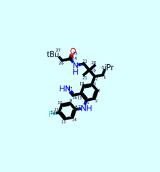 CC(C)CC(c1ccc(Nc2ccc(F)cc2)c(C=N)c1)C(C)(C)CNC(=O)CC(C)(C)C